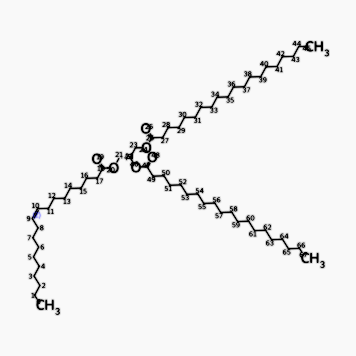 CCCCCCCCC/C=C\CCCCCCCC(=O)OC[C@H](COC(=O)CCCCCCCCCCCCCCCCCCC)OC(=O)CCCCCCCCCCCCCCCCCCC